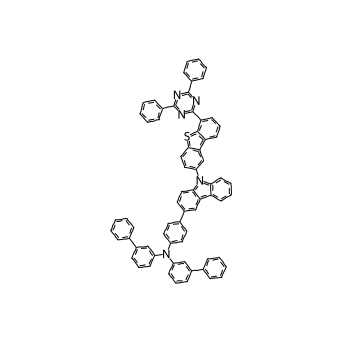 c1ccc(-c2cccc(N(c3ccc(-c4ccc5c(c4)c4ccccc4n5-c4ccc5sc6c(-c7nc(-c8ccccc8)nc(-c8ccccc8)n7)cccc6c5c4)cc3)c3cccc(-c4ccccc4)c3)c2)cc1